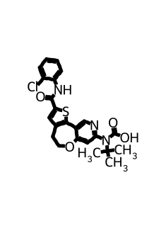 CC(C)(C)N(C(=O)O)c1cc2c(cn1)-c1sc(C(=O)Nc3ccccc3Cl)cc1CCO2